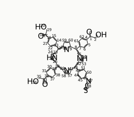 O=C(CO)c1ccc(-c2c3nc(c(-c4ccc(C(=O)CO)cc4)c4ccc([nH]4)c(-c4ccc(C(=O)CO)cc4)c4nc(c(-c5ccc(N=C=S)cc5)c5ccc2[nH]5)C=C4)C=C3)cc1